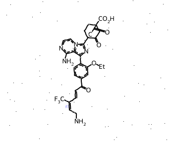 CCOc1cc(C(=O)C=C/C(=C\CN)C(F)(F)F)ccc1-c1nc(C23CCC(C(=O)O)(CC2=O)C(=O)C3)n2ccnc(N)c12